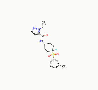 O=C(N[C@H]1CC[C@@](F)(S(=O)(=O)c2cccc(C(F)(F)F)c2)CC1)c1ccnn1CC(F)(F)F